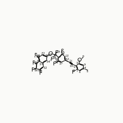 COc1cc(C)cc(F)c1C#Cc1cc(F)c(C(F)(F)Oc2cc(F)c3c(F)c(F)c(F)cc3c2)c(F)c1